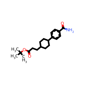 CC(C)(C)OC(=O)CCC1CCC(c2ccc(C(N)=O)cc2)CC1